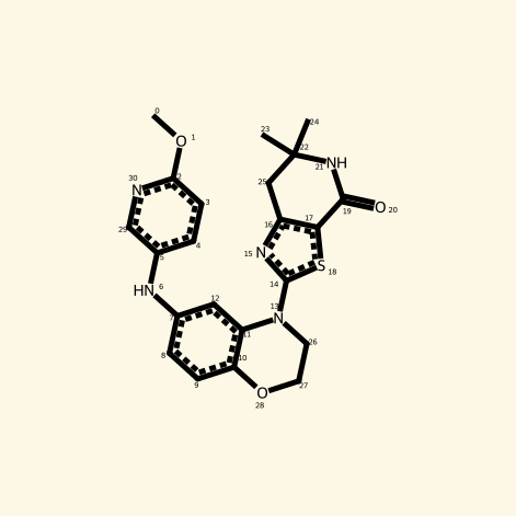 COc1ccc(Nc2ccc3c(c2)N(c2nc4c(s2)C(=O)NC(C)(C)C4)CCO3)cn1